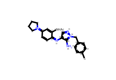 CC(=O)NC1=CC(=[N+]2CCCC2)C=C/C1=N/c1cnn(Cc2ccc(C)cc2)c1N